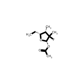 CC[C@H]1O[C@@H](OC(C)=O)C(C)(F)[C@H]1C